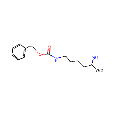 NC(C=O)CCCCNC(=O)OCc1ccccc1